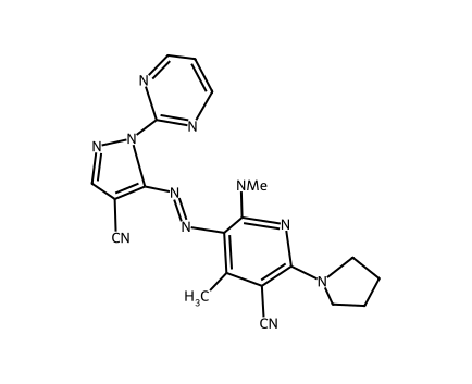 CNc1nc(N2CCCC2)c(C#N)c(C)c1/N=N/c1c(C#N)cnn1-c1ncccn1